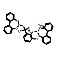 Cc1cccc(C(C)(C)Op2oc3ccccc3c3ccccc3o2)c1OP1Oc2ccccc2C2C=CC=CC2(C)O1